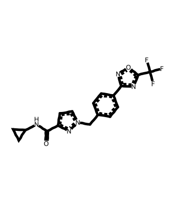 O=C(NC1CC1)c1ccn(Cc2ccc(-c3noc(C(F)(F)F)n3)cc2)n1